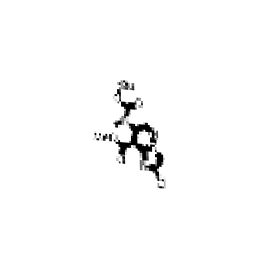 COC(=O)c1c(N(C)C(=O)OC(C)(C)C)cnn2cc(Cl)nc12